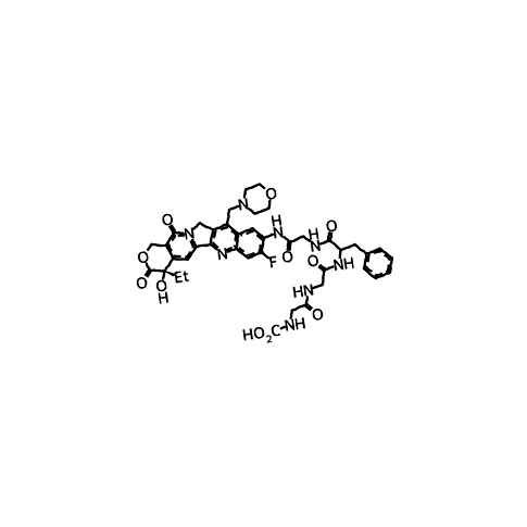 CC[C@@]1(O)C(=O)OCc2c1cc1n(c2=O)Cc2c-1nc1cc(F)c(NC(=O)CNC(=O)C(Cc3ccccc3)NC(=O)CNC(=O)CNC(=O)O)cc1c2CN1CCOCC1